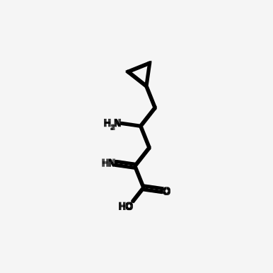 N=C(CC(N)CC1CC1)C(=O)O